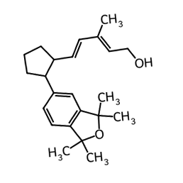 CC(C=CC1CCCC1c1ccc2c(c1)C(C)(C)OC2(C)C)=CCO